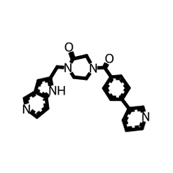 O=C1CN(C(=O)c2ccc(-c3cccnc3)cc2)CCN1Cc1cc2cnccc2[nH]1